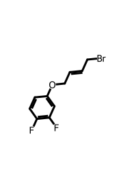 Fc1ccc(OCC=CCBr)cc1F